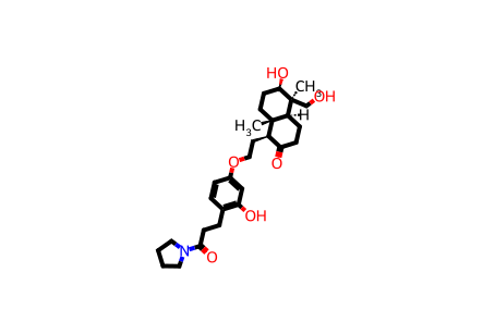 C[C@]1(CO)[C@H]2CCC(=O)[C@@H](CCOc3ccc(CCC(=O)N4CCCC4)c(O)c3)[C@]2(C)CC[C@H]1O